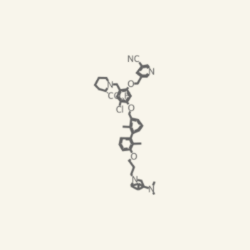 Cc1c(COc2cc(OCc3cncc(C#N)c3)c(CN3CCCC[C@H]3C(=O)O)cc2Cl)cccc1-c1cccc(OCCCN2CC3(N(C)C)C4C2C43)c1C